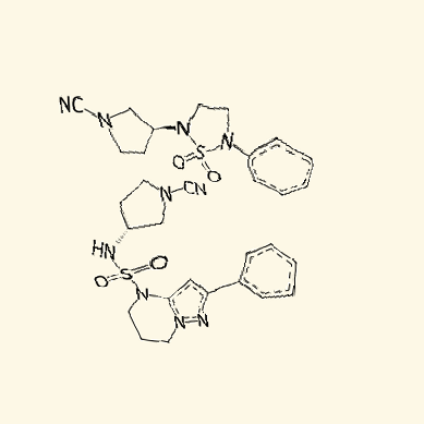 N#CN1CC[C@@H](NS(=O)(=O)N2CCCn3nc(-c4ccccc4)cc32)C1.N#CN1CC[C@H](N2CCN(c3ccccc3)S2(=O)=O)C1